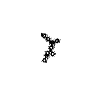 c1ccc(-c2cc3ccc4c(c5ccccc5n4-c4ccc(-c5nc(-c6ccncc6)cc(-c6ccc(-c7ccncc7)cc6)n5)cc4)c3o2)cc1